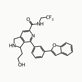 O=C(NCC(F)(F)F)c1cc2c(c(-c3cccc(-c4cc5ccccc5o4)c3)n1)C(CCO)NC2